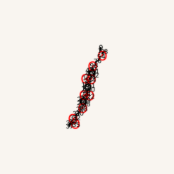 C=CC(=C)OCCCCOc1ccc(OC(=O)C2CCC(C(=O)Oc3ccc(OCCCCOC(=O)C=C)cc3)CC2)cc1